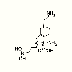 NCCc1ccc2c(c1)C[C@H](CCCB(O)O)[C@]2(N)C(=O)O